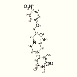 CCCOC(COc1ccc([N+](=O)[O-])cc1)CN1CCN(c2cc(=O)n(C)c(=O)n2C)CC1